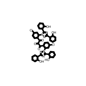 O=C(C(=O)c1ccc(Cl)cc1-n1nc(-c2ccccc2O)nc1-c1ccccc1O)C(=O)c1ccc(Cl)cc1-n1nc(-c2ccccc2O)nc1-c1ccccc1O